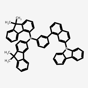 CC1(C)c2ccccc2-c2cc(N(c3cccc(-c4cccc5ccc(-n6c7ccccc7c7ccccc76)cc45)c3)c3cccc4c3-c3ccccc3C4(C)C)ccc21